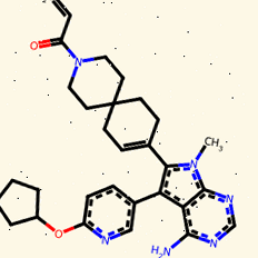 C=CC(=O)N1CCC2(CC=C(c3c(-c4ccc(OC5CCCC5)nc4)c4c(N)ncnc4n3C)CC2)CC1